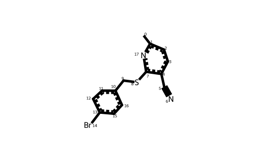 Cc1ccc(C#N)c(SCc2ccc(Br)cc2)n1